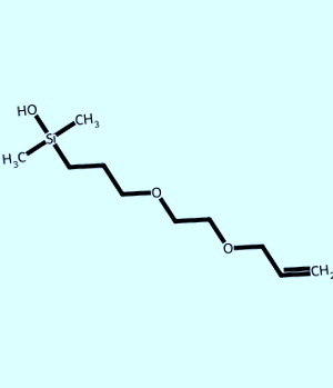 C=CCOCCOCCC[Si](C)(C)O